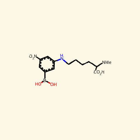 CNC(CCCCNc1cc(B(O)O)cc([N+](=O)[O-])c1)C(=O)O